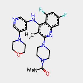 CNC(=O)N1CCN(c2nc3cc(F)cc(F)c3c(Nc3cncc(N4CCOCC4)c3)c2C)CC1